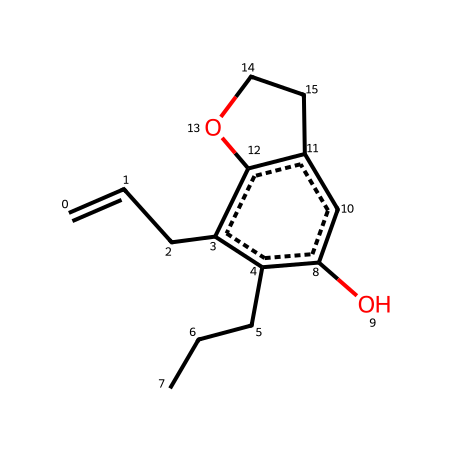 C=CCc1c(CCC)c(O)cc2c1OCC2